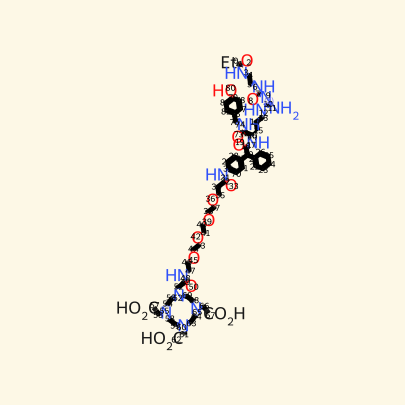 CCC(=O)NCCNC(=O)/N=C(/N)NCCC[C@@H](NC(=O)C(c1ccccc1)c1ccc(NC(=O)CCOCCOCCOCCOCCNC(=O)CN2CCN(CC(=O)O)CCN(CC(=O)O)CCN(CC(=O)O)CC2)cc1)C(=O)NCc1ccc(O)cc1